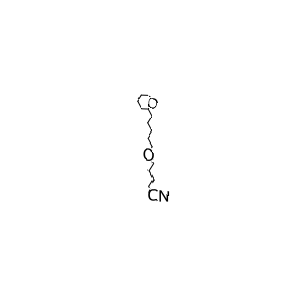 N#CCCCCOCCCCCC1CCCCO1